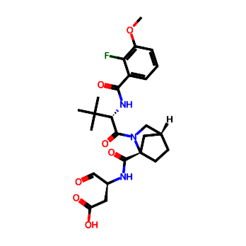 COc1cccc(C(=O)N[C@H](C(=O)N2C[C@@H]3CC[C@@]2(C(=O)N[C@H](C=O)CC(=O)O)C3)C(C)(C)C)c1F